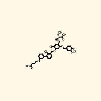 O=C(O)CCCOc1cccc(-c2cccc(COc3cc(OCc4ccc5nonc5c4)c(CN[C@H](CO)C(=O)O)cc3Cl)c2Cl)c1